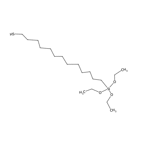 CCO[Si](CCCCCCCCCCCCCS)(OCC)OCC